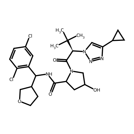 CC(C)(C)[C@H](C(=O)N1CC(O)CC1C(=O)NC(c1cc(Cl)ccc1Cl)C1CCOC1)n1cc(C2CC2)nn1